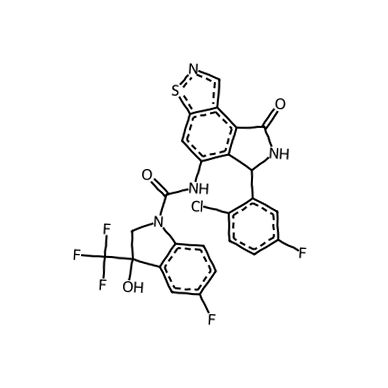 O=C1NC(c2cc(F)ccc2Cl)c2c(NC(=O)N3CC(O)(C(F)(F)F)c4cc(F)ccc43)cc3sncc3c21